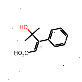 CC(C)(O)/C(=C\C(=O)O)c1ccccc1